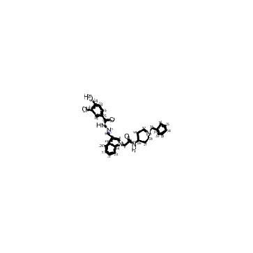 O=C(Cn1cc(/C=N/NC(=O)c2ccc(O)c(Cl)c2)c2ccccc21)NC1CCN(Cc2ccccc2)CC1